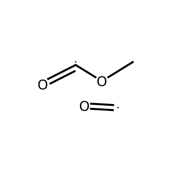 CO[C]=O.[CH]=O